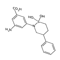 Nc1cc(C(=O)O)cc(N2CC(c3ccccc3)CCS2(O)O)c1